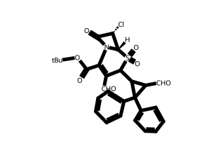 CC(C)(C)OC(=O)C1=C(C=O)C(C2C(C=O)C2(c2ccccc2)c2ccccc2)S(=O)(=O)[C@H]2[C@@H](Cl)C(=O)N12